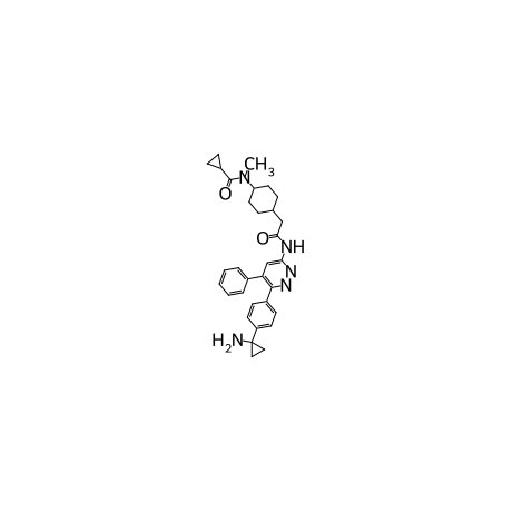 CN(C(=O)C1CC1)C1CCC(CC(=O)Nc2cc(-c3ccccc3)c(-c3ccc(C4(N)CC4)cc3)nn2)CC1